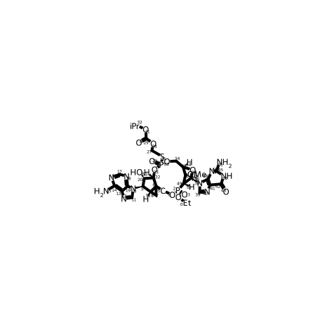 CCOP1(=O)OCC23C[C@@H]2[C@@H](n2cnc4c(N)ncnc42)[C@H](O)[C@@H]3OP(=O)(SCOC(=O)OC(C)C)OC[C@H]2O[C@@H](n3cnc4c(=O)[nH]c(N)nc43)[C@H]1[C@@H]2OC